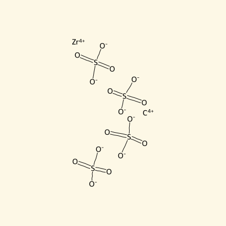 O=S(=O)([O-])[O-].O=S(=O)([O-])[O-].O=S(=O)([O-])[O-].O=S(=O)([O-])[O-].[C+4].[Zr+4]